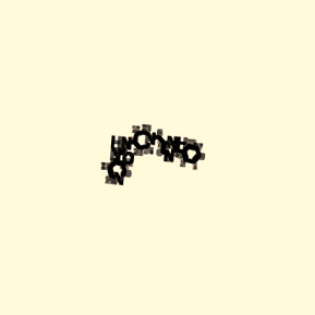 c1ccc(-c2ncc(CN3CCC(Nc4nc5ccncc5o4)CC3)[nH]2)cc1